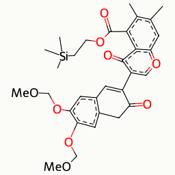 COCOc1cc2c(cc1OCOC)CC(=O)C(c1coc3cc(C)c(C)c(C(=O)OCC[Si](C)(C)C)c3c1=O)=C2